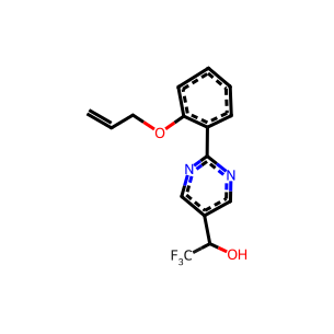 C=CCOc1ccccc1-c1ncc(C(O)C(F)(F)F)cn1